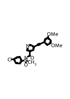 COc1cc(C#Cc2cncc(C(=O)N=S(C)(=O)c3ccc(Cl)cc3)c2)cc(OC)c1